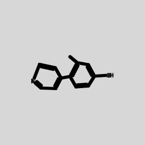 Cc1cc(S)ccc1-c1ccncc1